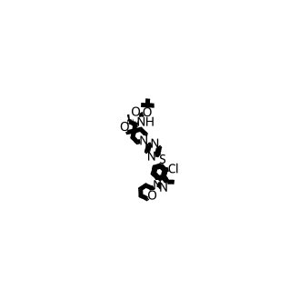 Cc1nn(C2CCCCO2)c2ccc(Sc3cnc(N4CCC5(CC4)CO[C@@H](C)[C@H]5NC(=O)OC(C)(C)C)cn3)c(Cl)c12